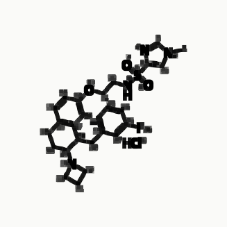 Cl.Cn1cnc(S(=O)(=O)NCCOc2ccc3c(c2)C(Cc2cccc(F)c2)C(N2CCC2)CC3)c1